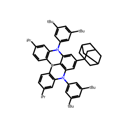 CC(C)c1ccc2c(c1)N(c1cc(C(C)(C)C)cc(C(C)(C)C)c1)c1cc(C34CC5CC(CC(C5)C3)C4)cc3c1B2c1ccc(C(C)C)cc1N3c1cc(C(C)(C)C)cc(C(C)(C)C)c1